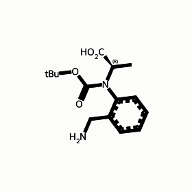 C[C@H](C(=O)O)N(C(=O)OC(C)(C)C)c1ccccc1CN